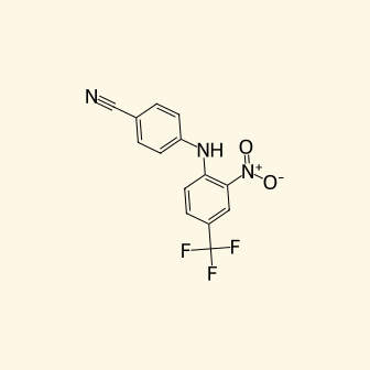 N#Cc1ccc(Nc2ccc(C(F)(F)F)cc2[N+](=O)[O-])cc1